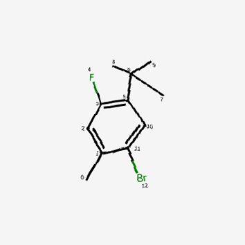 Cc1cc(F)c(C(C)(C)C)cc1Br